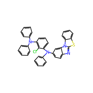 Clc1c(N(c2ccccc2)c2ccccc2)cccc1N(c1ccccc1)c1ccc2nc3sc4ccccc4n3c2c1